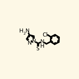 Nc1cnn(C(=S)NCc2ccccc2Cl)c1